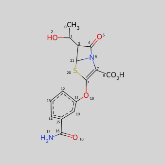 CC(O)C1C(=O)N2C(C(=O)O)=C(Oc3cccc(C(N)=O)c3)SC12